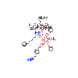 CCCCCCCCCCCCCC[C@@H](O[Si](C)(C)C(C)(C)C)[C@@H](O[Si](C)(C)C(C)(C)C)[C@H](CC[C@H]1OC(COCCc2ccc(CCN=[N+]=[N-])cc2)[C@H](OCc2ccccc2)[C@H](C)C1OCc1ccccc1)NC(=O)CCCCCCc1ccccc1